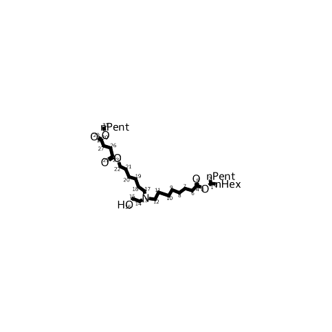 CCCCCCC(CCCCC)OC(=O)CCCCCCCN(CCO)CCCCCCOC(=O)CCC(=O)OCCCCC